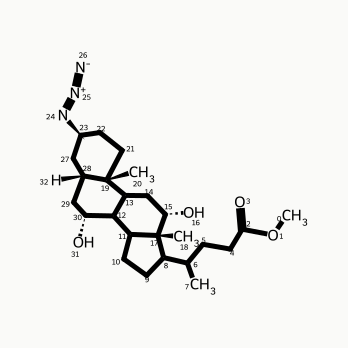 COC(=O)CCC(C)C1CCC2C3C(C[C@H](O)[C@]12C)[C@@]1(C)CC[C@H](N=[N+]=[N-])C[C@H]1C[C@H]3O